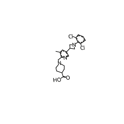 Cc1cc(C2CN(c3c(Cl)cccc3Cl)C2)cnc1CN1CCC(C(=O)O)CC1